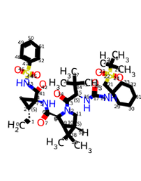 C=C[C@@H]1C[C@]1(NC(=O)[C@@H]1C2[C@H](CN1C(=O)[C@@H](NC(=O)NC1(CS(=O)(=O)C(C)(C)C)CCCCC1)C(C)(C)C)C2(C)C)C(=O)NS(=O)(=O)c1ccccc1